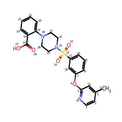 Cc1ccnc(Oc2cccc(S(=O)(=O)N3CCN(c4ccccc4C(=O)O)CC3)c2)c1